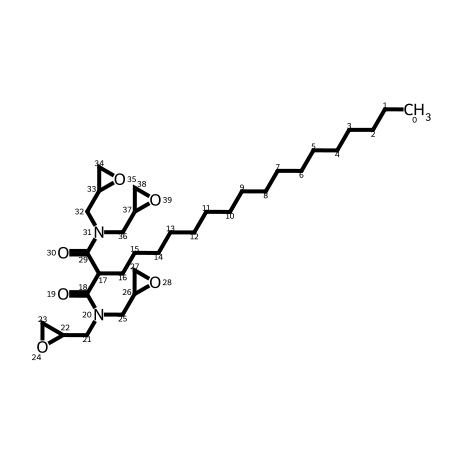 CCCCCCCCCCCCCCCCCC(C(=O)N(CC1CO1)CC1CO1)C(=O)N(CC1CO1)CC1CO1